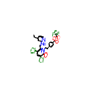 CCc1ccnc(NCc2c(Cl)cc(Cl)c(=O)n2CCc2ccc(C(=O)OC(=O)C(F)(F)F)cc2)c1